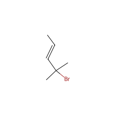 CC=CC(C)(C)Br